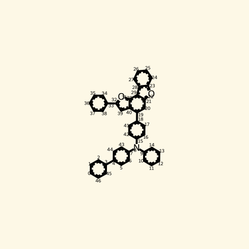 c1ccc(-c2ccc(N(c3ccccc3)c3ccc(-c4cc5oc6ccccc6c5c5oc(-c6ccccc6)cc45)cc3)cc2)cc1